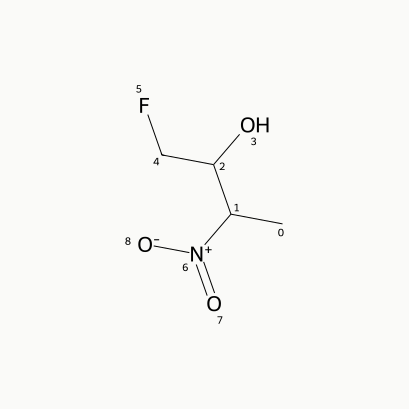 CC(C(O)CF)[N+](=O)[O-]